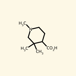 CN1CCC(C(=O)O)C(C)(C)C1